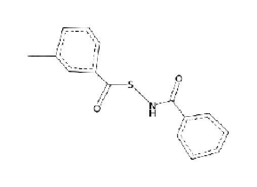 Cc1cccc(C(=O)SNC(=O)c2ccccc2)c1